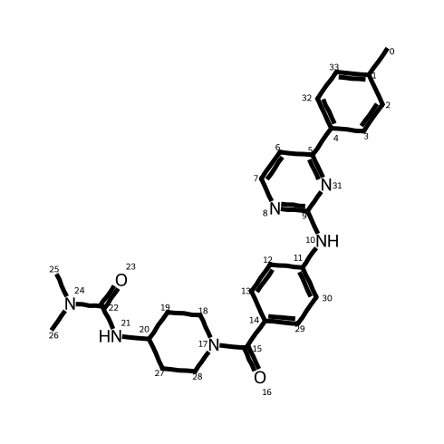 Cc1ccc(-c2ccnc(Nc3ccc(C(=O)N4CCC(NC(=O)N(C)C)CC4)cc3)n2)cc1